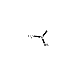 [BH2][W]([CH3])[SiH3]